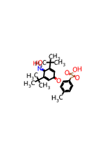 CC(C)(C)C1=CC(=O)C=C(C(C)(C)C)C1=NO.Cc1ccc(S(=O)(=O)O)cc1